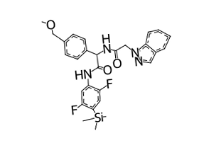 COCc1ccc(C(NC(=O)Cn2ncc3ccccc32)C(=O)Nc2cc(F)c([Si](C)(C)C)cc2F)cc1